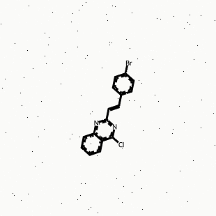 Clc1nc(C=Cc2ccc(Br)cc2)nc2ccccc12